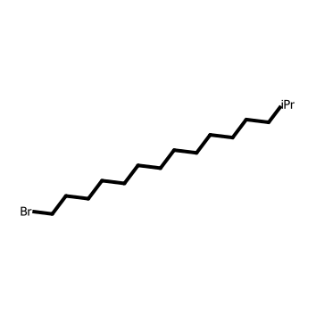 CC(C)CCCCCCCCCCCCCBr